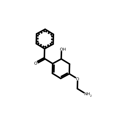 NCOC1=CC=C(C(=O)c2ccccc2)C(O)C1